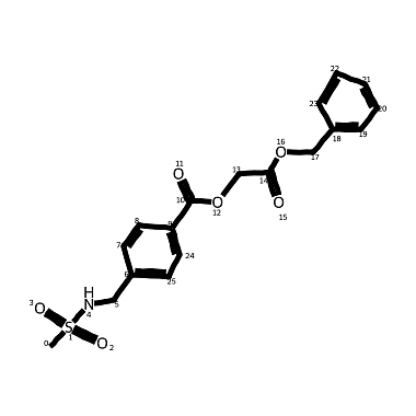 CS(=O)(=O)NCc1ccc(C(=O)OCC(=O)OCc2ccccc2)cc1